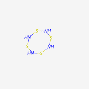 N1SNSNSNS1